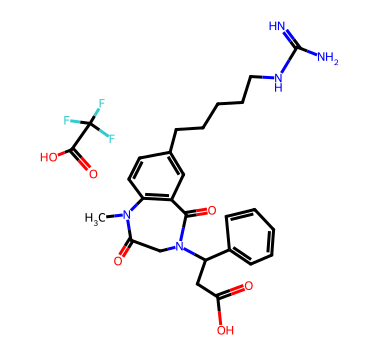 CN1C(=O)CN(C(CC(=O)O)c2ccccc2)C(=O)c2cc(CCCCCNC(=N)N)ccc21.O=C(O)C(F)(F)F